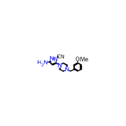 COc1cccc(CN2CCN(c3cc(N)nn3C#N)CC2)c1